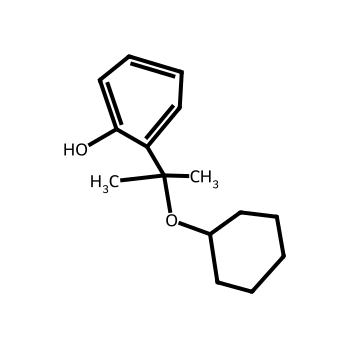 CC(C)(OC1CCCCC1)c1ccccc1O